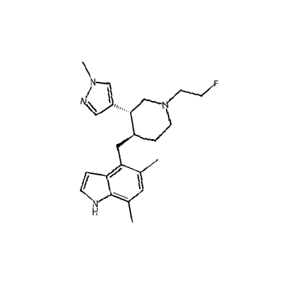 Cc1cc(C)c2[nH]ccc2c1C[C@@H]1CCN(CCF)C[C@H]1c1cnn(C)c1